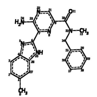 Cc1ccc2nc(-c3nc(C(=O)N(C)Cc4ccccc4)cnc3N)[nH]c2c1